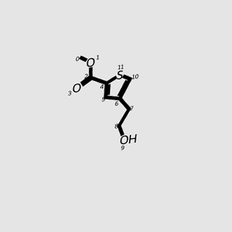 COC(=O)c1cc(CCO)cs1